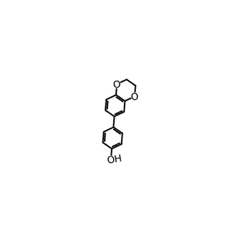 Oc1ccc(-c2ccc3c(c2)OCCO3)cc1